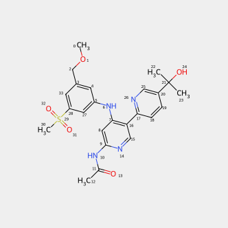 COCc1cc(Nc2cc(NC(C)=O)ncc2-c2ccc(C(C)(C)O)cn2)cc(S(C)(=O)=O)c1